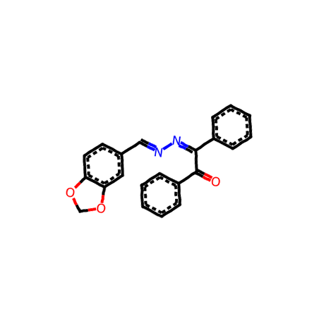 O=C(C(=NN=Cc1ccc2c(c1)OCO2)c1ccccc1)c1ccccc1